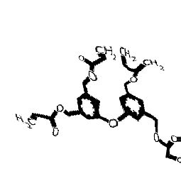 C=CC(=C)OCc1cc(COC(=O)C=C)cc(Oc2cc(COC(=O)C=C)cc(COC(=O)C=C)c2)c1